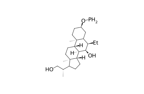 CC[C@@H]1C2C[C@H](OP)CC[C@]2(C)[C@H]2CC[C@]3(C)C([C@H](C)CO)CC[C@H]3[C@@H]2[C@@H]1O